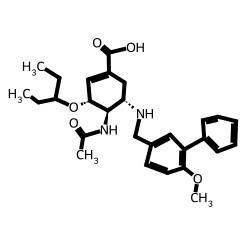 CCC(CC)O[C@@H]1C=C(C(=O)O)C[C@H](NCc2ccc(OC)c(-c3ccccc3)c2)[C@H]1NC(C)=O